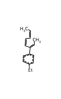 C\C=C/C=C\C(=C/C)c1ccc(CC)cc1